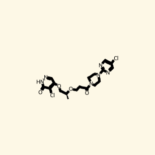 C[C@@H](COc1cn[nH]c(=O)c1Cl)OCCC(=O)N1CCN(c2ncc(Cl)cn2)CC1